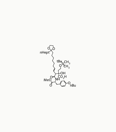 CCCCCCCC1(CCCCCCC=CC(C(=O)N[C@@H](Cc2ccc(OCCCC)cc2)C(=O)OC)C(O)(CCO[Si](C)(C)C(C)(C)C)C(=O)O)OCCO1